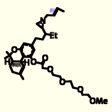 C/C=C/CN1CC1C(CC)CCc1cc(OC(=O)COCCOCCOCCOC)c2c(c1)OC(C)(C)[C@@H]1CCC(C)=C[C@@H]21